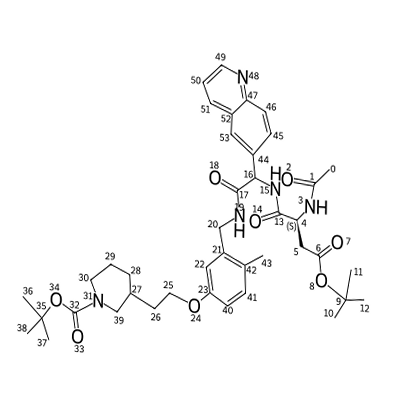 CC(=O)N[C@@H](CC(=O)OC(C)(C)C)C(=O)NC(C(=O)NCc1cc(OCCC2CCCN(C(=O)OC(C)(C)C)C2)ccc1C)c1ccc2ncccc2c1